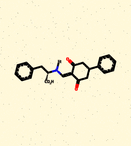 CCN(C=C1C(=O)CC(c2ccccc2)CC1=O)[C@@H](Cc1ccccc1)C(=O)O